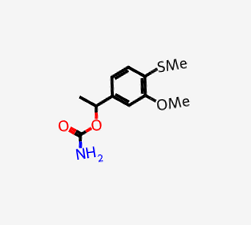 COc1cc(C(C)OC(N)=O)ccc1SC